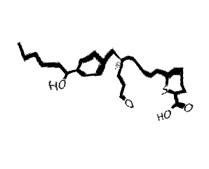 CCCCCC(O)c1ccc(C[C@H](CCC=O)CCCC2=CCC(C(=O)O)S2)cc1